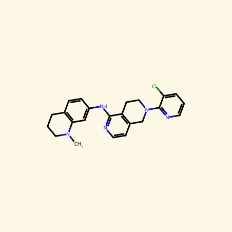 CN1CCCc2ccc(Nc3nccc4c3CCN(c3ncccc3Cl)C4)cc21